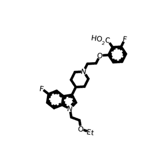 CCOCCn1cc(C2CCN(CCOc3cccc(F)c3C(=O)O)CC2)c2cc(F)ccc21